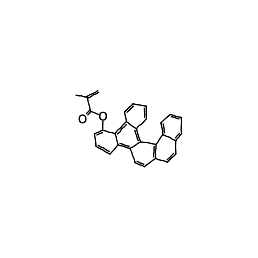 C=C(C)C(=O)Oc1cccc2c3ccc4ccc5ccccc5c4c3c3ccccc3c12